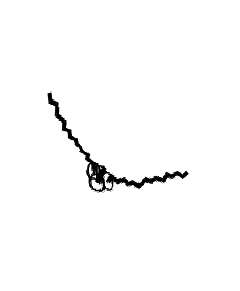 CCCCCCCCCCCCCCCOP(C)(=O)OCCCCCCCCCCCCCCC